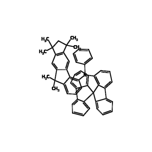 CC1(C)CC(C)(C)c2cc3c(cc21)-c1c(N(c2ccccc2)c2cccc4c2C2(c5ccccc5-c5ccccc52)c2ccccc2-4)cccc1C3(C)C